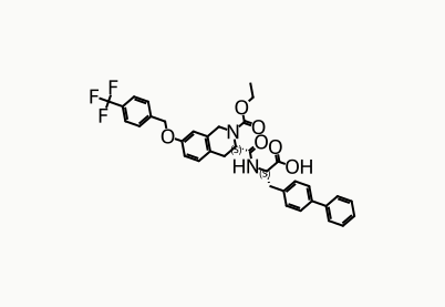 CCOC(=O)N1Cc2cc(OCc3ccc(C(F)(F)F)cc3)ccc2C[C@H]1C(=O)N[C@@H](Cc1ccc(-c2ccccc2)cc1)C(=O)O